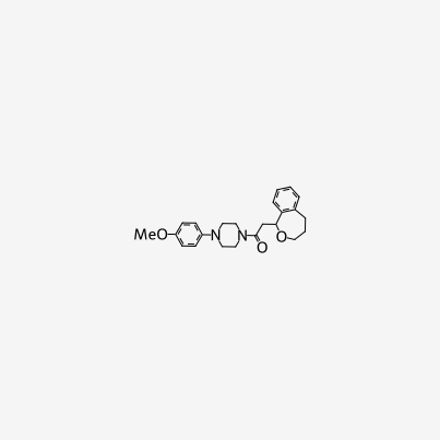 COc1ccc(N2CCN(C(=O)CC3OCCCc4ccccc43)CC2)cc1